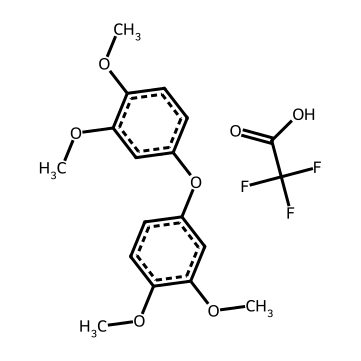 COc1ccc(Oc2ccc(OC)c(OC)c2)cc1OC.O=C(O)C(F)(F)F